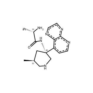 CC(C)[C@H](N)C(=O)N[C@]1(c2ccnc3nccnc23)CNC[C@@H](C)C1